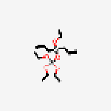 C=CC[Si](CC=C)(OCC)O[Si](OCC)(OCC)OCC